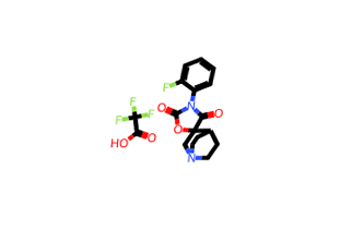 O=C(O)C(F)(F)F.O=C1OC2(CN3CCC2CC3)C(=O)N1c1ccccc1F